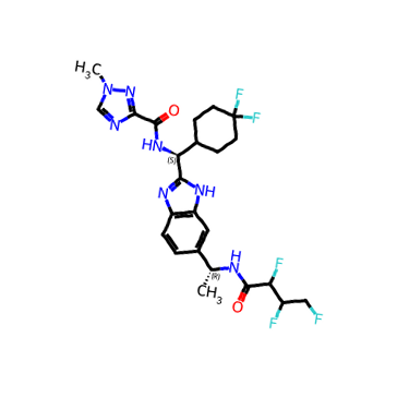 C[C@@H](NC(=O)C(F)C(F)CF)c1ccc2nc([C@@H](NC(=O)c3ncn(C)n3)C3CCC(F)(F)CC3)[nH]c2c1